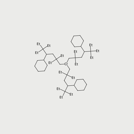 CCC(CC)(CC(C1CCCCC1)C(CC)(CC)CC)[CH2][Cr]([CH2]C(CC)(CC)CC(C1CCCCC1)C(CC)(CC)CC)[CH2]C(CC)(CC)CC(C1CCCCC1)C(CC)(CC)CC